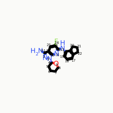 Nc1nn(C2CCCCO2)c2nc(Nc3cccc4c3CCC4)c(F)cc12